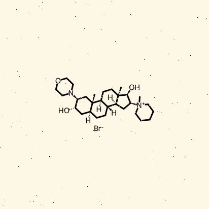 C[C@]12C[C@H](N3CCOCC3)[C@@H](O)C[C@@H]1CC[C@@H]1[C@@H]2CC[C@]2(C)[C@@H](O)[C@@H]([N+]3(C)CCCCC3)C[C@@H]12.[Br-]